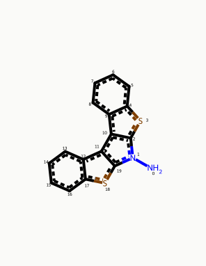 Nn1c2sc3ccccc3c2c2c3ccccc3sc21